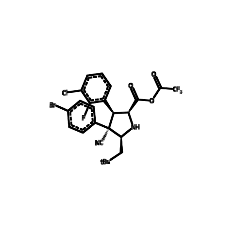 CC(C)(C)C[C@@H]1N[C@H](C(=O)OC(=O)C(F)(F)F)[C@H](c2cccc(Cl)c2F)[C@]1(C#N)c1ccc(Br)cc1